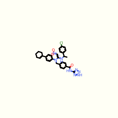 CC(N/C(=C/[N+](=O)[O-])N(Cc1ccc(C(=O)Nc2nn[nH]n2)cc1)c1ccc(C2=CCCCC2)cc1)c1ccc(Cl)cc1